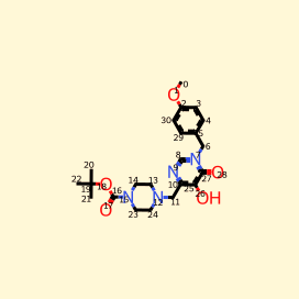 COc1ccc(Cn2cnc(CN3CCN(C(=O)OC(C)(C)C)CC3)c(O)c2=O)cc1